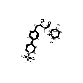 CC(C)S(=O)(=O)N1CCC(c2ccc(C[C@@H](C#N)NC(=O)[C@H]3N[C@@H](C)CC[C@H]3C)cc2)CC1